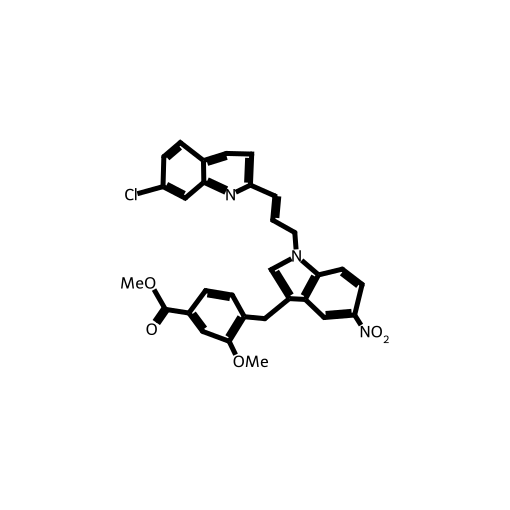 COC(=O)c1ccc(Cc2cn(CC=Cc3ccc4ccc(Cl)cc4n3)c3ccc([N+](=O)[O-])cc23)c(OC)c1